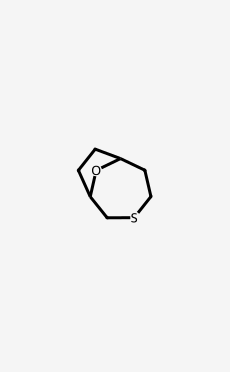 C1CC2CCC(CS1)O2